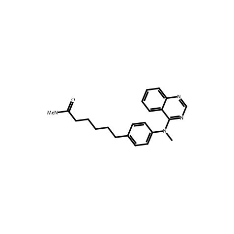 CNC(=O)CCCCCc1ccc(N(C)c2ncnc3ccccc23)cc1